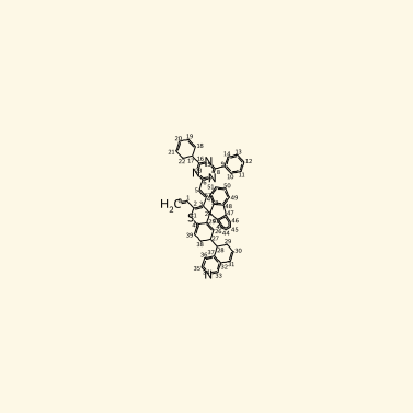 C=CC1=C(/C=C/c2nc(-c3ccccc3)nc(C3C=CC=CC3)n2)C2(C3=CC(C4CC=Cc5cnccc54)CC=C3S1)c1ccccc1-c1ccccc12